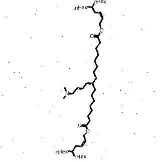 CCCCCCC(C/C=C\COC(=O)CCCCCCCC(CCCCCCCC(=O)OC/C=C\CC(CCCCCC)CCCCCC)CCCCN(C)C)CCCCCC